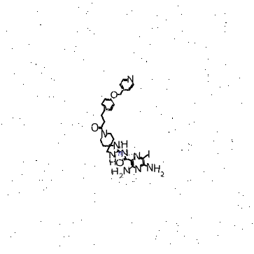 Nc1nc(N)c(C(=O)/N=C2\NCC3(CCN(C(=O)CCc4ccc(OCc5ccncc5)cc4)CC3)N2)nc1I